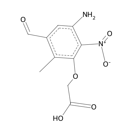 Cc1c(C=O)cc(N)c([N+](=O)[O-])c1OCC(=O)O